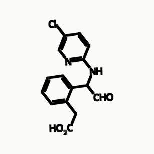 O=CC(Nc1ccc(Cl)cn1)c1ccccc1CC(=O)O